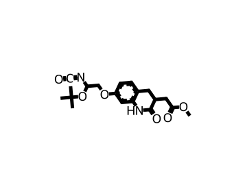 COC(=O)CC1Cc2ccc(OCC(N=C=O)OC(C)(C)C)cc2NC1=O